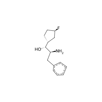 N[C@@H](Cc1ccccc1)[C@H](O)[C@@H]1CC[C@@H](F)C1